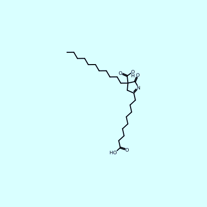 CCCCCCCCCCCC1(C(=O)O)CC(CCCCCCCCC(=O)O)=NC1=O